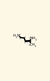 C/C(N)=C/CCN